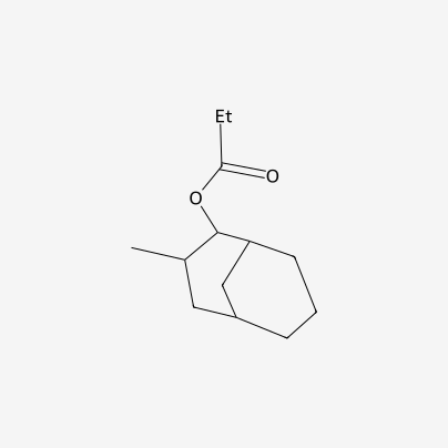 CCC(=O)OC1C(C)CC2CCCC1C2